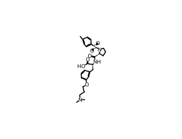 Cc1ccc(S(=O)(=O)N2CCC[C@H]2C(=O)N[C@@H](Cc2cccc(OCCCN(C)C)c2)C(=O)O)cc1